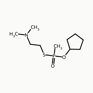 CN(C)CCSP(C)(=O)OC1CCCC1